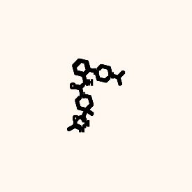 Cc1nnc(C2(C)CCN(C(=O)Nc3ccccc3N3CCN(C(C)C)CC3)CC2)o1